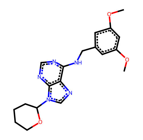 COc1cc(CNc2ncnc3c2ncn3C2CCCCO2)cc(OC)c1